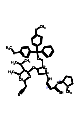 COc1ccc(C(OC[C@H]2O[C@@H](N/C=C\C(=N)/N=C3/CCCN3C)CC2OP(OCCC#N)C(N(C)C)N(C)C)(c2ccccc2)c2ccc(OC)cc2)cc1